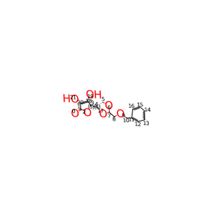 O=C1O[C@@H]([C@@H]2COC(COCc3ccccc3)O2)C(O)=C1O